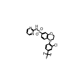 O=S(=O)(Nc1ncccn1)c1ccc2c(c1)OCCN2c1ccc(C(F)(F)F)cc1Cl